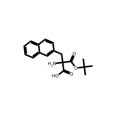 CC(C)(C)OC(=O)C(N)(Cc1ccc2ccccc2c1)C(=O)O